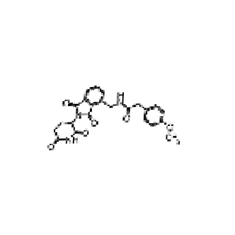 O=C(Cc1ccc(OC(F)(F)F)cc1)NCc1cccc2c1C(=O)N(C1CCC(=O)NC1=O)C2=O